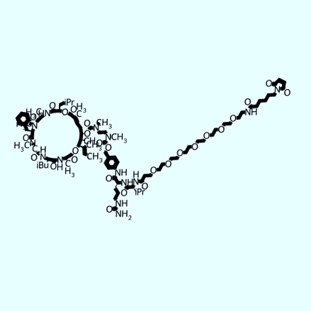 C/C=C(\C)[C@H]1OC(=O)[C@@H](C)NC(=O)[C@H](C(C)CC)NC(=O)CN(C)C(=O)[C@@H](Cc2ccccc2)N(C)C(=O)[C@H](C)NC(=O)[C@@H](CC(C)C)OC(=O)/C(C)=C/C[C@H](OC(=O)N(C)CCN(C)C(=O)OCc2ccc(NC(=O)[C@@H](CCCNC(N)=O)NC(=O)[C@H](NC(=O)CCOCCOCCOCCOCCOCCOCCOCCNC(=O)CCCCCN3C(=O)C=CC3=O)C(C)C)cc2)[C@@H]1C